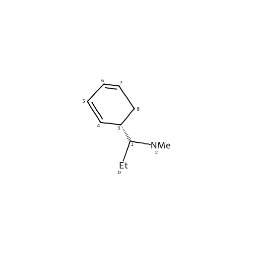 CCC(NC)[C@@H]1C=CC=CC1